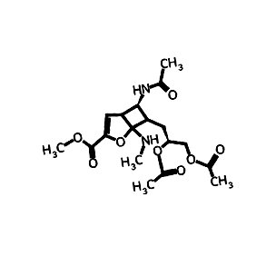 CNC12OC(C(=O)OC)=CC1[C@@H](NC(C)=O)C2C[C@@H](COC(C)=O)OC(C)=O